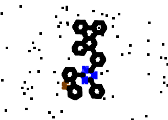 c1ccc(-c2nc(-c3cccc(-c4cc5c6ccccc6c6ccccc6c5c5ccccc45)c3)nc(-c3cccc4sc5ccccc5c34)n2)cc1